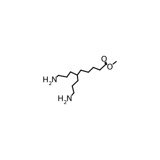 COC(=O)CCCCC(CCCN)CCCN